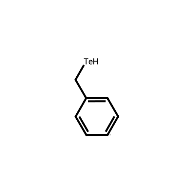 [TeH]Cc1cc[c]cc1